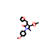 COc1ccc(N2C(=O)/C(=C\c3ccco3)C(C3OC(C)O3)=C2C)cc1